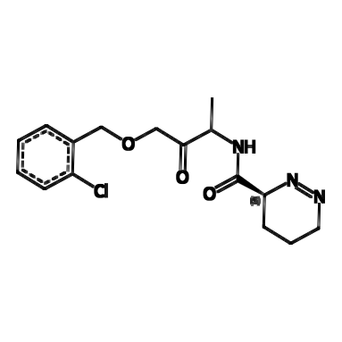 CC(NC(=O)[C@@H]1CCCN=N1)C(=O)COCc1ccccc1Cl